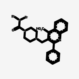 CCN(Br)C(=O)N1CCN(Cc2c(-c3ccccc3)nc3ccccc3c2C(=O)O)CC1